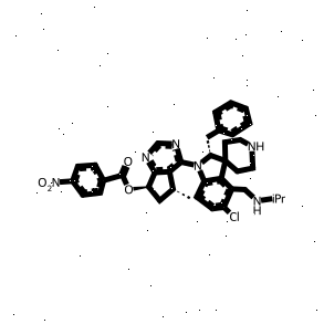 CC(C)NCc1c(Cl)ccc2c1C1(CCNCC1)[C@@H](Cc1ccccc1)N2c1ncnc2c1[C@H](C)C[C@H]2OC(=O)c1ccc([N+](=O)[O-])cc1